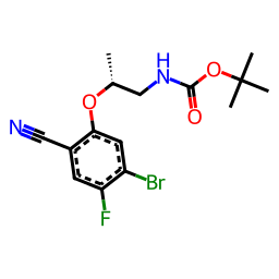 C[C@H](CNC(=O)OC(C)(C)C)Oc1cc(Br)c(F)cc1C#N